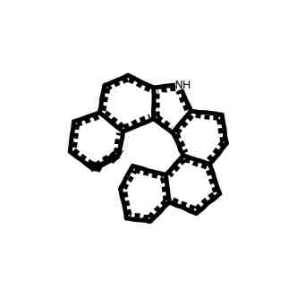 c1ccc2c(c1)ccc1ccc3[nH]c4ccc5ccc6ccccc6c5c4c3c12